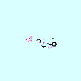 O=c1ccn([C@@H]2O[C@H](COP(=O)(O)OP(=O)(O)O)C(O)C2O)c(=O)n1Cc1noc2cccc(OC(F)(F)F)c12